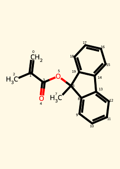 C=C(C)C(=O)OC1(C)c2ccccc2-c2ccccc21